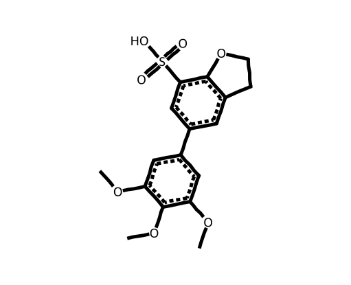 COc1cc(-c2cc3c(c(S(=O)(=O)O)c2)OCC3)cc(OC)c1OC